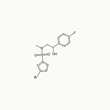 CN(CC(O)c1ccc(F)cc1)S(=O)(=O)c1ccc(Br)s1